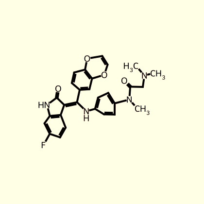 CN(C)CC(=O)N(C)c1ccc(NC(=C2C(=O)Nc3cc(F)ccc32)c2ccc3c(c2)OC=CO3)cc1